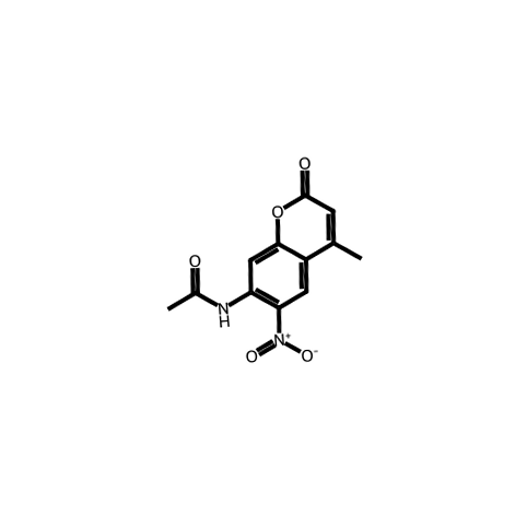 CC(=O)Nc1cc2oc(=O)cc(C)c2cc1[N+](=O)[O-]